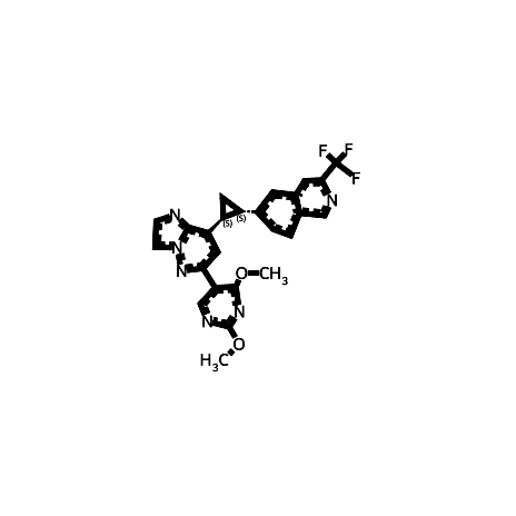 COc1ncc(-c2cc([C@H]3C[C@@H]3c3ccc4cnc(C(F)(F)F)cc4c3)c3nccn3n2)c(OC)n1